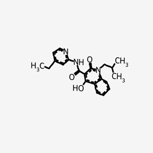 CCc1ccnc(NC(=O)c2c(O)c3ccccc3n(CC(C)C)c2=O)c1